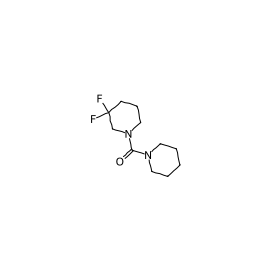 O=C(N1CCCCC1)N1CCCC(F)(F)C1